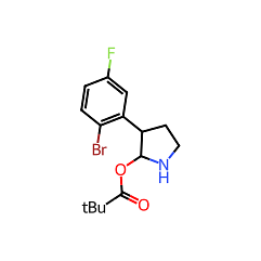 CC(C)(C)C(=O)OC1NCCC1c1cc(F)ccc1Br